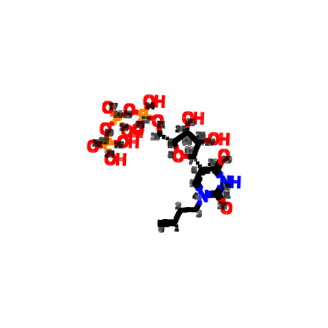 C=CCCn1cc([C@@H]2O[C@H](COP(=O)(O)OP(=O)(O)OP(=O)(O)O)[C@@H](O)[C@H]2O)c(=O)[nH]c1=O